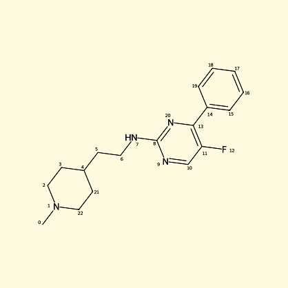 CN1CCC(CCNc2ncc(F)c(-c3ccccc3)n2)CC1